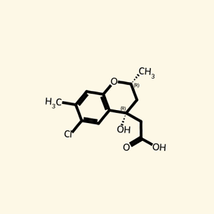 Cc1cc2c(cc1Cl)[C@](O)(CC(=O)O)C[C@@H](C)O2